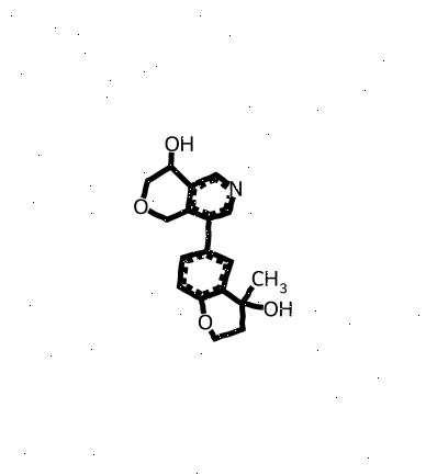 CC1(O)CCOc2ccc(-c3cncc4c3COCC4O)cc21